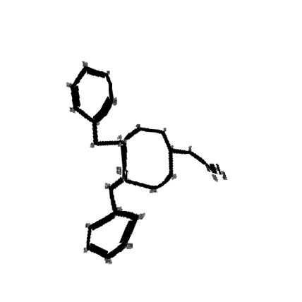 NCC1CCN(Cc2ccccc2)N(Cc2ccccc2)CC1